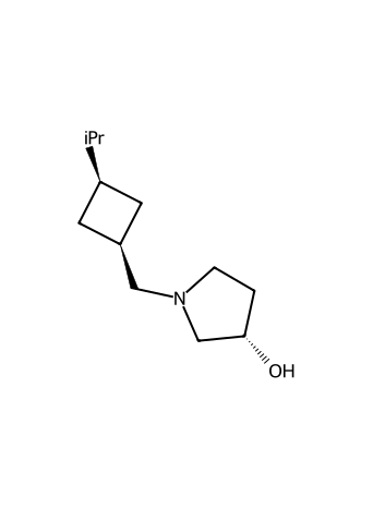 CC(C)[C@H]1C[C@@H](CN2CC[C@H](O)C2)C1